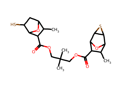 CC1C2CC(S)C(O2)C1C(=O)OCC(C)(C)COC(=O)C1C(C)C2OC1C1SC21